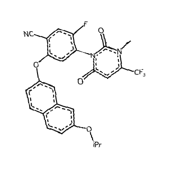 CC(C)Oc1ccc2ccc(Oc3cc(-n4c(=O)cc(C(F)(F)F)n(C)c4=O)c(F)cc3C#N)cc2c1